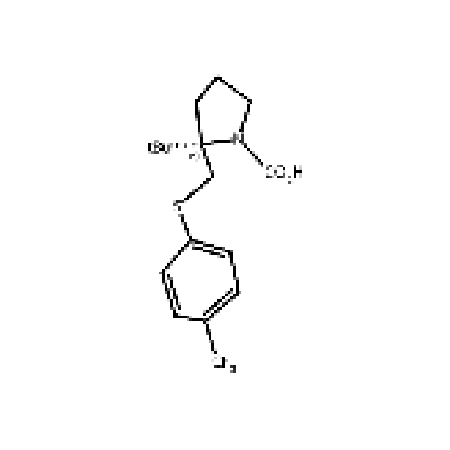 CC(C)(C)[C@]1(CSc2ccc(C(F)(F)F)cc2)CCCN1C(=O)O